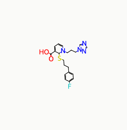 O=C(O)C1=CC=CN(CCCn2cncn2)C1SCCCc1ccc(F)cc1